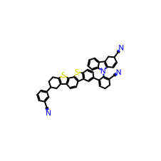 N#CC1=C(n2c3c(c4ccccc42)CC(C#N)C=C3)C(c2ccc3sc4c(ccc5c6c(sc54)CCC(c4cccc(C#N)c4)C6)c3c2)=CCC1